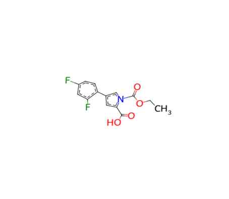 CCOC(=O)n1cc(-c2ccc(F)cc2F)cc1C(=O)O